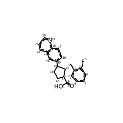 Cc1c(F)cccc1[C@]1(C(=O)O)CCC(c2ccc3ncccc3c2)C1